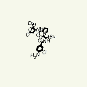 CCO[C@@H]1OC(=O)C[C@@H]1NC(=O)[C@@H]1CCCN1C(=O)C(NC(=O)c1ccc(N)c(Cl)c1)C(C)(C)C